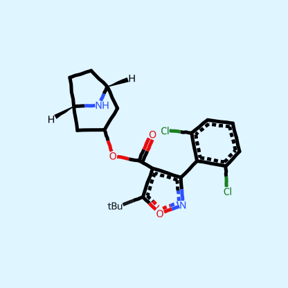 CC(C)(C)c1onc(-c2c(Cl)cccc2Cl)c1C(=O)OC1C[C@H]2CC[C@@H](C1)N2